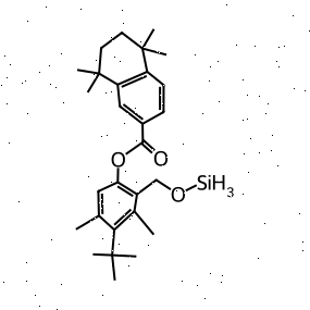 Cc1cc(OC(=O)c2ccc3c(c2)C(C)(C)CCC3(C)C)c(CO[SiH3])c(C)c1C(C)(C)C